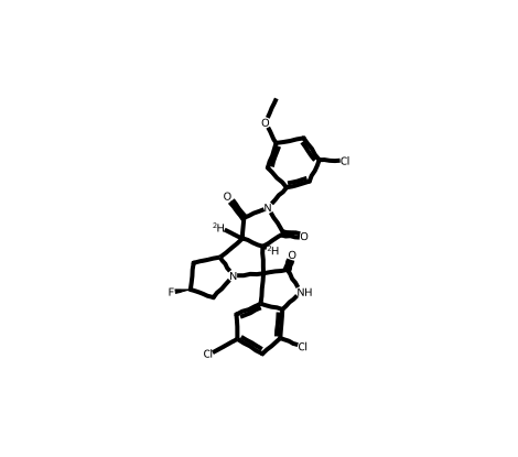 [2H]C12C(=O)N(c3cc(Cl)cc(OC)c3)C(=O)C1([2H])C1(C(=O)Nc3c(Cl)cc(Cl)cc31)N1C[C@@H](F)CC12